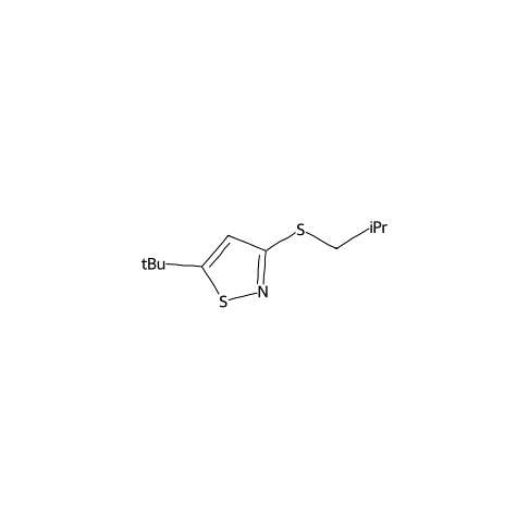 CC(C)CSc1cc(C(C)(C)C)sn1